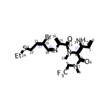 C=C/C(N)=C(\C(=O)N(C)CC(F)(F)F)N(C)C(=O)C(=C)/N=C\C(Br)=C/CSCC